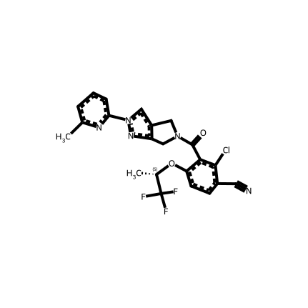 Cc1cccc(-n2cc3c(n2)CN(C(=O)c2c(O[C@@H](C)C(F)(F)F)ccc(C#N)c2Cl)C3)n1